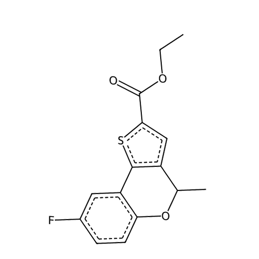 CCOC(=O)c1cc2c(s1)-c1cc(F)ccc1OC2C